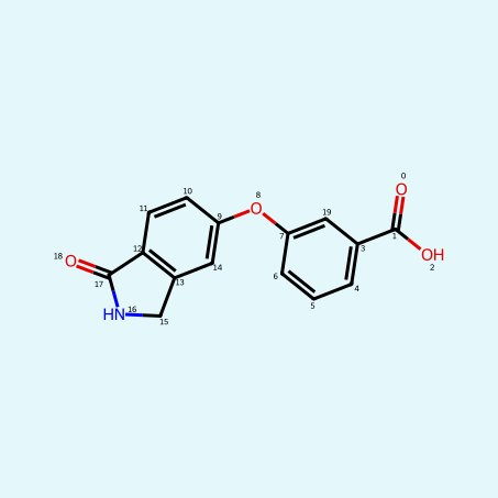 O=C(O)c1cccc(Oc2ccc3c(c2)CNC3=O)c1